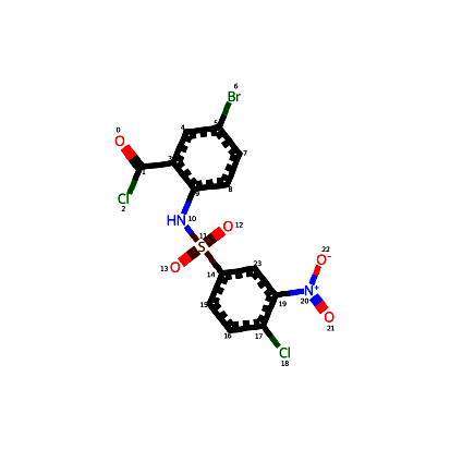 O=C(Cl)c1cc(Br)ccc1NS(=O)(=O)c1ccc(Cl)c([N+](=O)[O-])c1